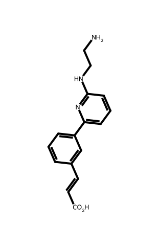 NCCNc1cccc(-c2cccc(C=CC(=O)O)c2)n1